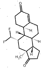 C[C@]12C[C@H](C(F)F)[C@H]3[C@@H](CCC4=CC(=O)CC[C@@H]43)[C@@H]1CCC2=O